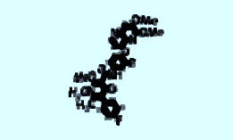 COc1cc2nccc(Oc3ccc(NC(=O)c4c(OC)n(C)c(C)c(-c5ccc(F)cc5)c4=O)cc3F)c2nc1OC